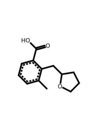 Cc1cccc(C(=O)O)c1CC1CCCO1